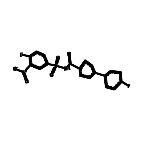 O=C(NS(=O)(=O)c1ccc(F)c([N+](=O)[O-])c1)c1ccc(-c2ccc(F)cc2)cc1